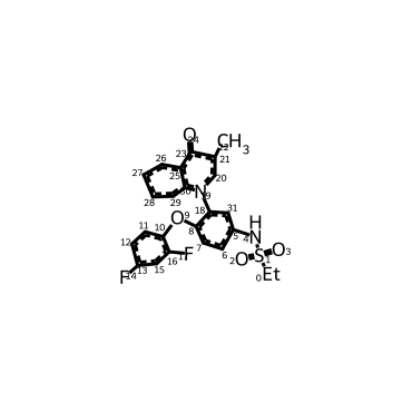 CCS(=O)(=O)Nc1ccc(Oc2ccc(F)cc2F)c(-n2cc(C)c(=O)c3ccccc32)c1